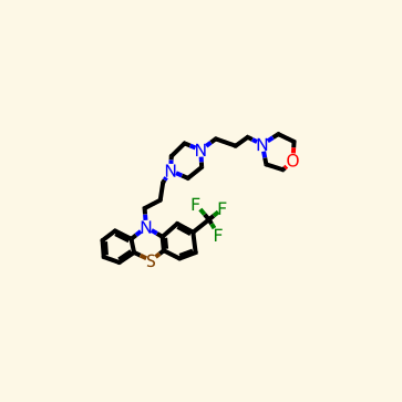 FC(F)(F)c1ccc2c(c1)N(CCCN1CCN(CCCN3CCOCC3)CC1)c1ccccc1S2